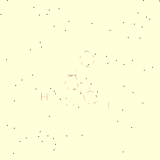 CC(C)c1c[c]c2c3c(C(N)=O)cccc3n(Cc3c(Cl)cccc3Cl)c2c1